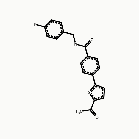 O=C(NCc1ccc(F)cc1)c1ccc(-c2ccc(C(=O)C(F)(F)F)s2)cc1